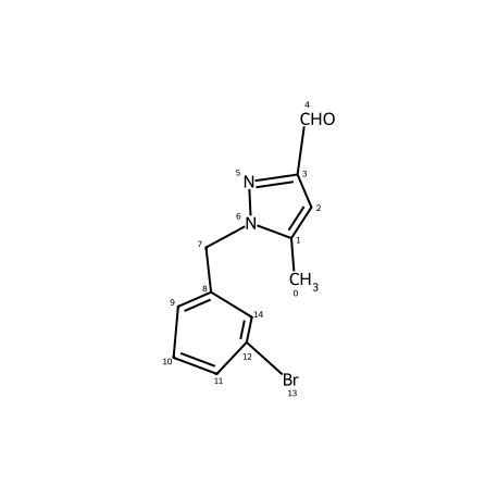 Cc1cc(C=O)nn1Cc1cccc(Br)c1